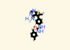 Cc1ccc(C)c(NC(=O)Nc2ccc(-c3c(C)sc4ncnc(N)c34)cc2)c1